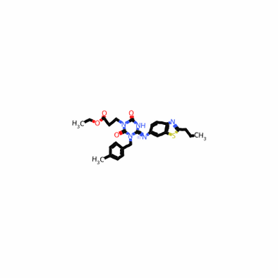 CCCc1nc2ccc(/N=c3\[nH]c(=O)n(CCC(=O)OCC)c(=O)n3Cc3ccc(C)cc3)cc2s1